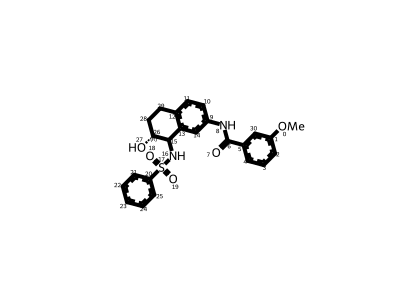 COc1cccc(C(=O)Nc2ccc3c(c2)C(NS(=O)(=O)c2ccccc2)[C@H](O)CC3)c1